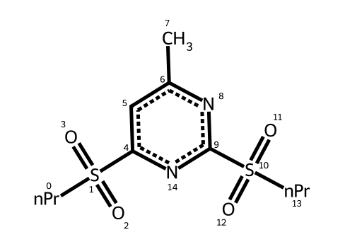 CCCS(=O)(=O)c1cc(C)nc(S(=O)(=O)CCC)n1